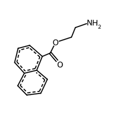 NCCOC(=O)c1cccc2ccccc12